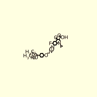 CC(=O)N(C)C[C@H](O)c1ccc(OCCN2CCN(c3cc4c(cc3F)c(=O)c(C(=O)O)cn4C3CC3)CC2)cc1